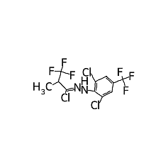 CC(C(Cl)=NNc1c(Cl)cc(C(F)(F)F)cc1Cl)C(F)(F)F